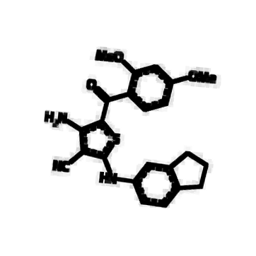 COc1ccc(C(=O)c2sc(Nc3ccc4c(c3)CCC4)c(C#N)c2N)c(OC)c1